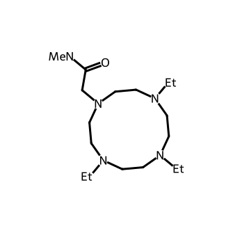 CCN1CCN(CC)CCN(CC(=O)NC)CCN(CC)CC1